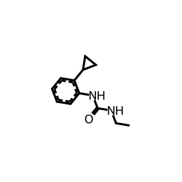 CCNC(=O)Nc1ccccc1C1CC1